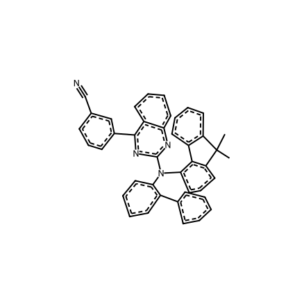 CC1(C)c2ccccc2-c2c(N(c3nc(-c4cccc(C#N)c4)c4ccccc4n3)c3ccccc3-c3ccccc3)cccc21